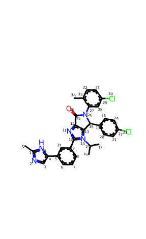 Cc1ncc(-c2cccc(-c3nc4c(n3C(C)C)C(c3ccc(Cl)cc3)N(c3cc(Cl)ccc3C)C4=O)c2)[nH]1